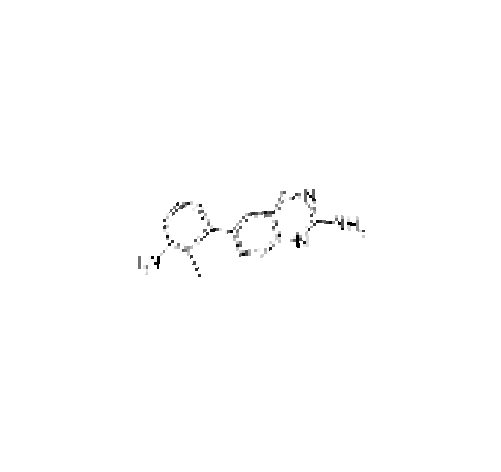 Cc1c(N)cccc1-c1ccc2nc(N)ncc2c1